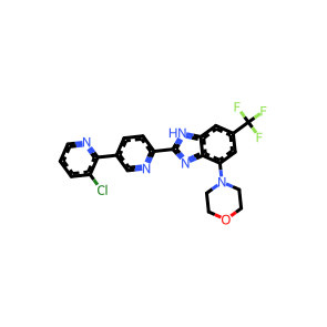 FC(F)(F)c1cc(N2CCOCC2)c2nc(-c3ccc(-c4ncccc4Cl)cn3)[nH]c2c1